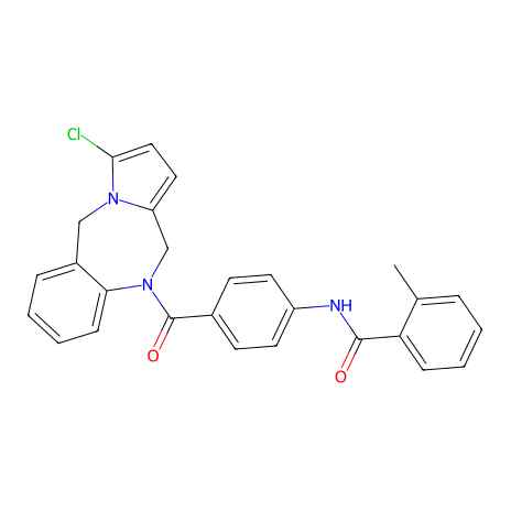 Cc1ccccc1C(=O)Nc1ccc(C(=O)N2Cc3ccc(Cl)n3Cc3ccccc32)cc1